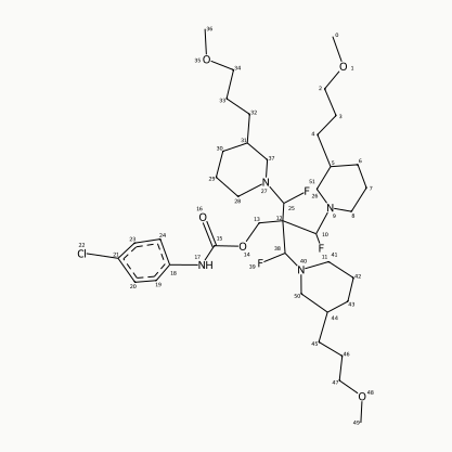 COCCCC1CCCN(C(F)C(COC(=O)Nc2ccc(Cl)cc2)(C(F)N2CCCC(CCCOC)C2)C(F)N2CCCC(CCCOC)C2)C1